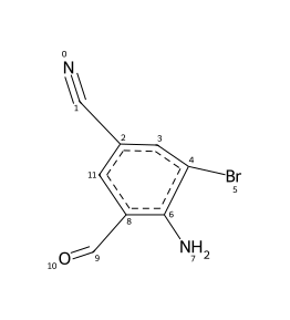 N#Cc1cc(Br)c(N)c(C=O)c1